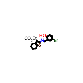 CCOC(=O)c1c(/N=C/c2cc(Br)ccc2O)sc2c1CCCC2